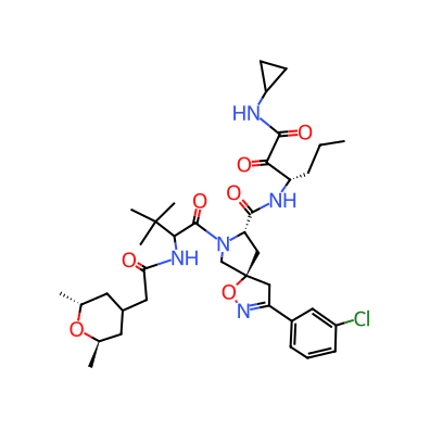 CCC[C@H](NC(=O)[C@@H]1C[C@]2(CC(c3cccc(Cl)c3)=NO2)CN1C(=O)C(NC(=O)CC1C[C@@H](C)O[C@H](C)C1)C(C)(C)C)C(=O)C(=O)NC1CC1